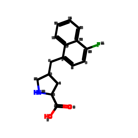 O=C(O)C1CC(Cc2ccc(F)c3ccccc23)CN1